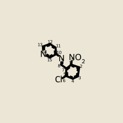 O=[N+]([O-])c1cccc(Cl)c1C=Nc1cccnc1